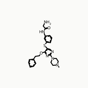 CN1CCN(c2ncc(Sc3cccc(NC(=O)CN)c3)c(OCCc3ccccc3)n2)CC1